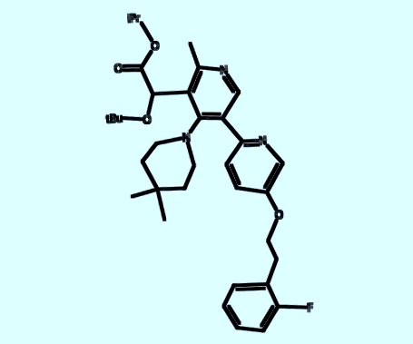 Cc1ncc(-c2ccc(OCCc3ccccc3F)cn2)c(N2CCC(C)(C)CC2)c1C(OC(C)(C)C)C(=O)OC(C)C